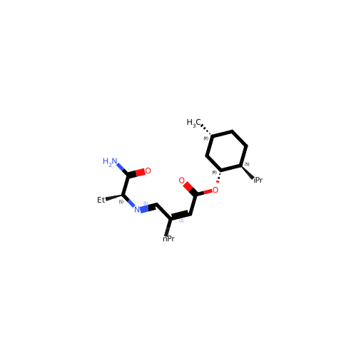 CCCC(=C/C(=O)O[C@@H]1C[C@H](C)CC[C@H]1C(C)C)/C=N/[C@@H](CC)C(N)=O